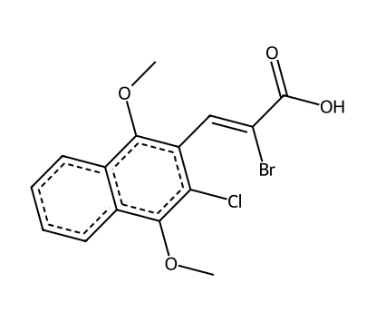 COc1c(Cl)c(/C=C(\Br)C(=O)O)c(OC)c2ccccc12